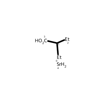 CCC(CC)C(=O)O.[SrH2]